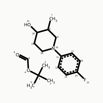 CC(C)(C)OC=O.CC1CN(c2ccc(F)cc2)CCC1O